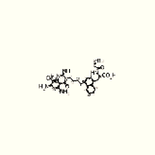 CC(C)(C)OC(=O)N[C@@H](Cc1ccc(CCCCN(C(=N)N)C(=O)c2nc(Cl)c(N)nc2N)c2ccccc12)C(=O)O